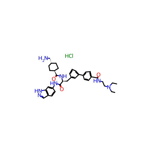 CCN(CC)CCNC(=O)c1ccc(-c2cccc(C[C@H](NC(=O)[C@H]3CC[C@H](CN)CC3)C(=O)Nc3ccc4cn[nH]c4c3)c2)cc1.Cl